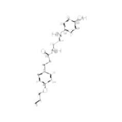 C=CCOc1ccc(CCC(=O)NCCNc2ccc(O)cc2)cc1